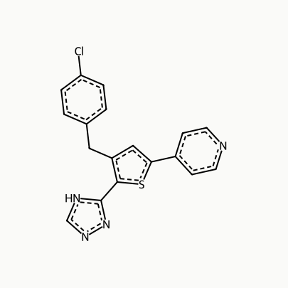 Clc1ccc(Cc2cc(-c3ccncc3)sc2-c2nnc[nH]2)cc1